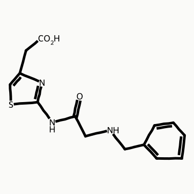 O=C(O)Cc1csc(NC(=O)CNCc2ccccc2)n1